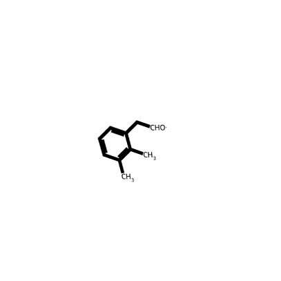 Cc1cccc(C[C]=O)c1C